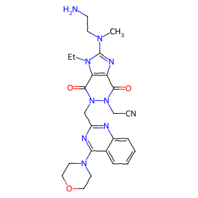 CCn1c(N(C)CCN)nc2c(=O)n(CC#N)n(Cc3nc(N4CCOCC4)c4ccccc4n3)c(=O)c21